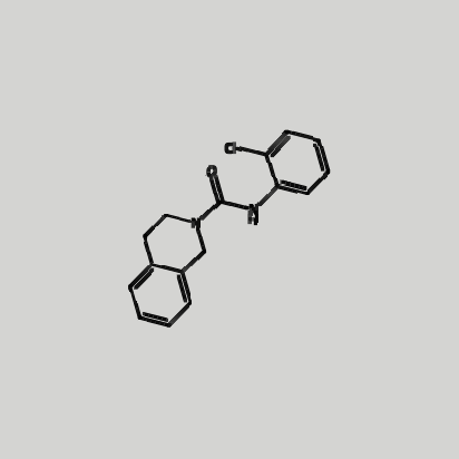 O=C(Nc1ccccc1Cl)N1CCc2ccccc2C1